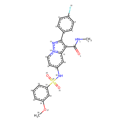 CNC(=O)c1c(-c2ccc(F)cc2)nn2ccc(NS(=O)(=O)c3cccc(OC)c3)cc12